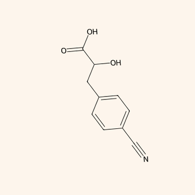 N#Cc1ccc(CC(O)C(=O)O)cc1